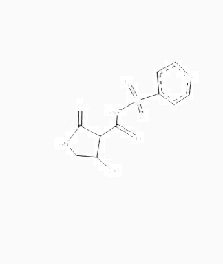 O=C1NCC(O)C1C(=O)NS(=O)(=O)c1ccncc1